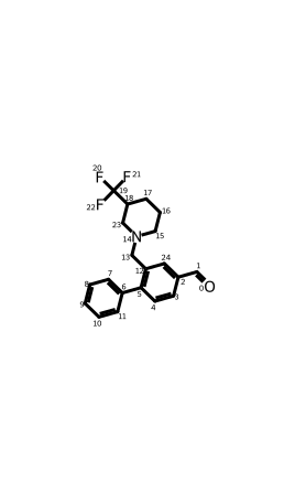 O=Cc1ccc(-c2ccccc2)c(CN2CCCC(C(F)(F)F)C2)c1